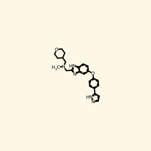 CN(Cc1nc2cc(Oc3ccc(-c4ccn[nH]4)cc3)ccc2[nH]1)CC1CCOCC1